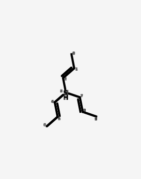 CC=C[SiH](C=CC)C=CC